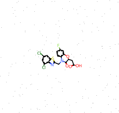 O=C(O)CC1Oc2cc(F)ccc2N(Cc2nc3c(Cl)cc(Cl)cc3s2)C1=O